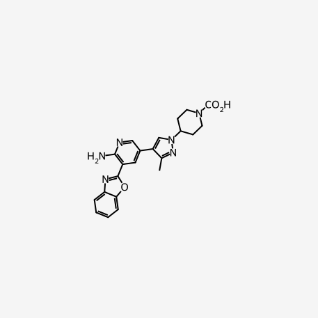 Cc1nn(C2CCN(C(=O)O)CC2)cc1-c1cnc(N)c(-c2nc3ccccc3o2)c1